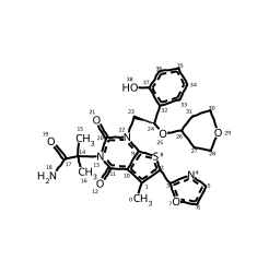 Cc1c(-c2ncco2)sc2c1c(=O)n(C(C)(C)C(N)=O)c(=O)n2C[C@H](OC1CCOCC1)c1ccccc1O